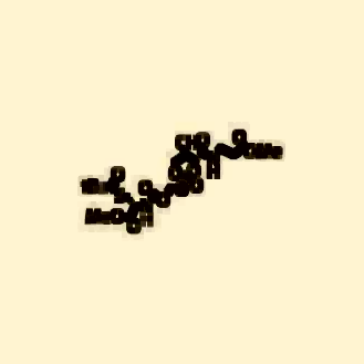 COC(=O)CCNC(=O)[C@@H]1OP(=O)(OCOC(=O)N[C@@H](CSC(=O)C(C)(C)C)C(=O)OC)OCC1C